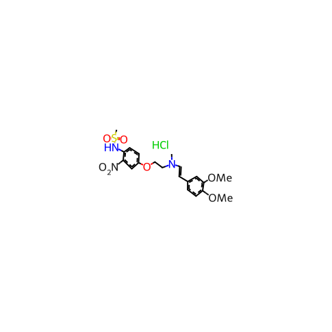 COc1ccc(C=CN(C)CCOc2ccc(NS(C)(=O)=O)c([N+](=O)[O-])c2)cc1OC.Cl